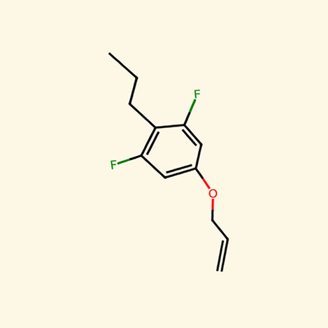 C=CCOc1cc(F)c(CCC)c(F)c1